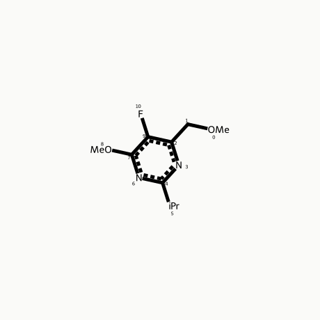 COCc1nc(C(C)C)nc(OC)c1F